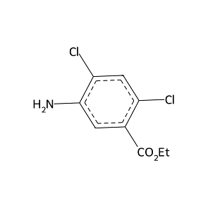 CCOC(=O)c1cc(N)c(Cl)cc1Cl